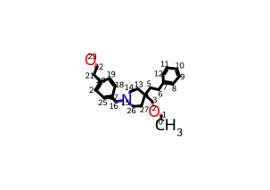 CCOCC1(CCc2ccccc2)CCN(Cc2ccc(CC=O)cc2)CC1